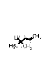 [Li][C](C)(C)CC=C